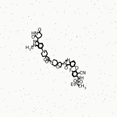 CCN(C)S(=O)(=O)Nc1ccc(F)c(Oc2ccc3ncn([C@H]4COC5(CCN(C(=O)CC6(O)CCN(c7ccc8c(C9CCC(=O)NC9=O)nn(C)c8c7)CC6)CC5)C4)c(=O)c3c2)c1C#N